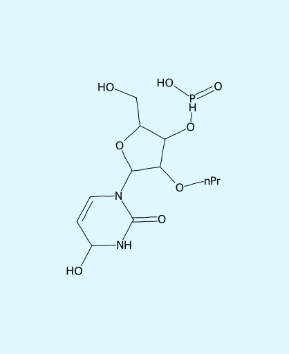 CCCOC1C(O[PH](=O)O)C(CO)OC1N1C=CC(O)NC1=O